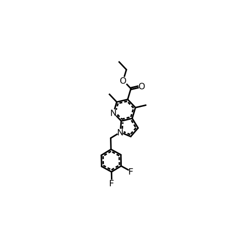 CCOC(=O)c1c(C)nc2c(ccn2Cc2ccc(F)c(F)c2)c1C